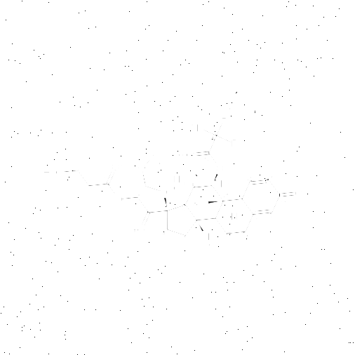 CCCC(=O)OCC(=O)[C@@]1(OCOC)CC[C@H]2[C@@H]3CCC4=CC(=O)C=C[C@]4(C)[C@@]3(F)[C@H](OC(=O)C(F)(F)F)C[C@@]21C